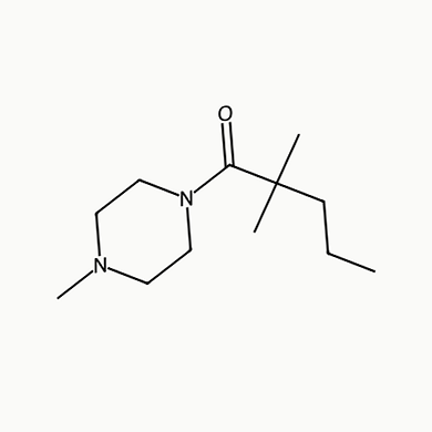 CCCC(C)(C)C(=O)N1CCN(C)CC1